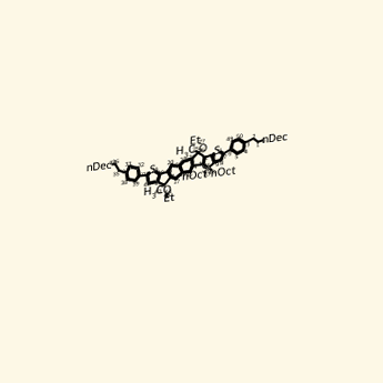 CCCCCCCCCCCCc1ccc(-c2cc3c(s2)C2=C(c4cc5cc6c(cc5cc4C2(C)OCC)-c2sc(-c4ccc(CCCCCCCCCCCC)cc4)cc2C6(C)OCC)[Si]3(CCCCCCCC)CCCCCCCC)cc1